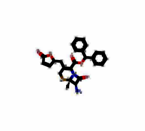 N[C@@H]1C(=O)N2C(C(=O)OC(c3ccccc3)c3ccccc3)=C(CC3C=CC(=O)O3)CS[C@H]12